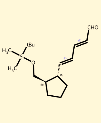 CC(C)(C)[Si](C)(C)OC[C@@H]1CCC[C@H]1/C=C/C=C/C=O